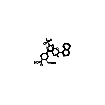 CC1Cc2c(nc(S(C)(=O)=O)nc2N2CCN(C(=O)O)[C@@H](CC#N)C2)OC1c1cccc2ccccc12